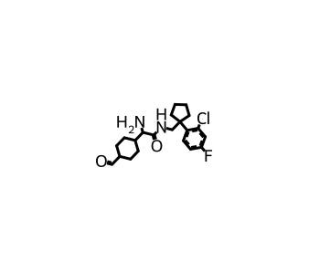 NC(C(=O)NCC1(c2ccc(F)cc2Cl)CCCC1)C1CCC(C=O)CC1